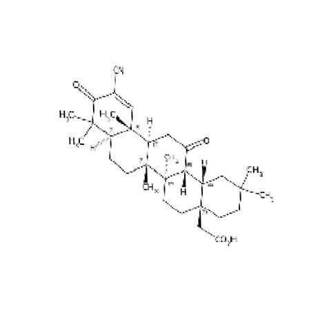 CC1(C)CC[C@]2(CC(=O)O)CC[C@]3(C)[C@H](C(=O)C[C@@H]4[C@@]5(C)C=C(C#N)C(=O)C(C)(C)[C@@H]5CC[C@]43C)[C@@H]2C1